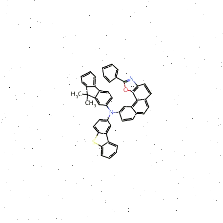 CC1(C)c2ccccc2-c2ccc(N(c3ccc4sc5ccccc5c4c3)c3ccc4ccc5ccc6nc(-c7ccccc7)oc6c5c4c3)cc21